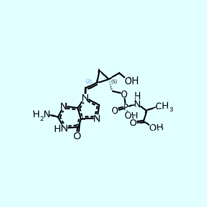 CC(NP(=O)(O)OC[C@@]1(CO)C/C1=C/n1cnc2c(=O)[nH]c(N)nc21)C(=O)O